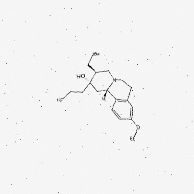 CCOc1ccc2c(c1)CCN1C[C@H](CC(C)CC)[C@](O)(CC[19F])C[C@@H]21